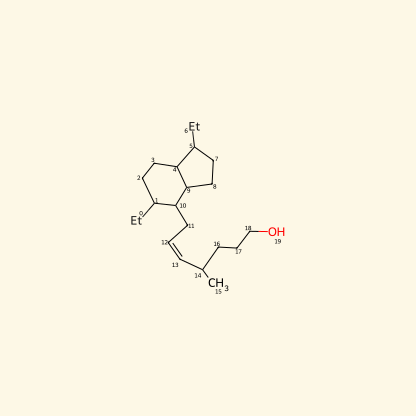 CCC1CCC2C(CC)CCC2C1C/C=C\C(C)CCCO